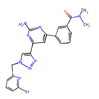 CCc1cccc(Cn2cc(-c3cc(-c4cccc(C(=O)N(C)C)c4)nc(N)n3)nn2)n1